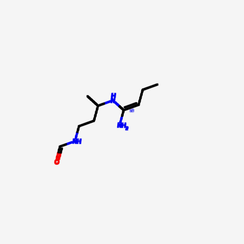 CC/C=C(/N)NC(C)CCNC=O